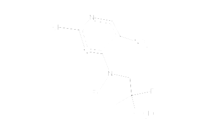 CCOC(=O)C(F)(F)CN(CC)c1nc(Cl)ncc1[N+](=O)[O-]